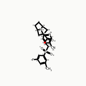 Cc1cc(F)cc(S(=O)(=O)CCC(=O)N2CC3CCC(C2)N3c2ccc(C#N)cn2)c1